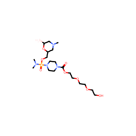 BC1CN(C)CC(COP(=O)(N(C)C)N2CCN(C(=O)OCCOCCOCCO)CC2)O1